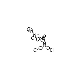 O=C(NCCN1CCOCC1)c1cccc(CS(=O)(=O)C=C2CN(C(c3ccc(Cl)cc3)c3ccc(Cl)cc3)C2)c1